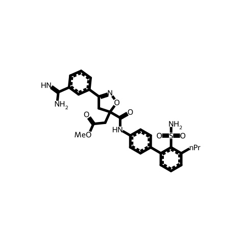 CCCc1cccc(-c2ccc(NC(=O)C3(CC(=O)OC)CC(c4cccc(C(=N)N)c4)=NO3)cc2)c1S(N)(=O)=O